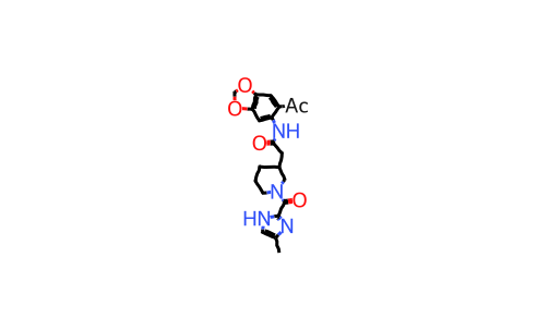 CC(=O)c1cc2c(cc1NC(=O)CC1CCCN(C(=O)c3nc(C)c[nH]3)C1)OCO2